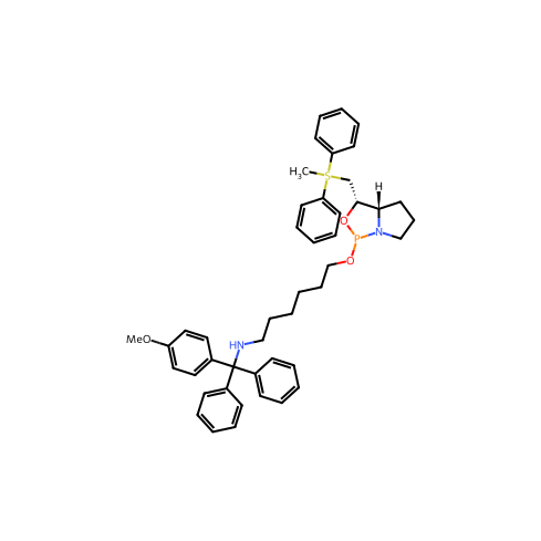 COc1ccc(C(NCCCCCCOP2O[C@H](CS(C)(c3ccccc3)c3ccccc3)[C@@H]3CCCN32)(c2ccccc2)c2ccccc2)cc1